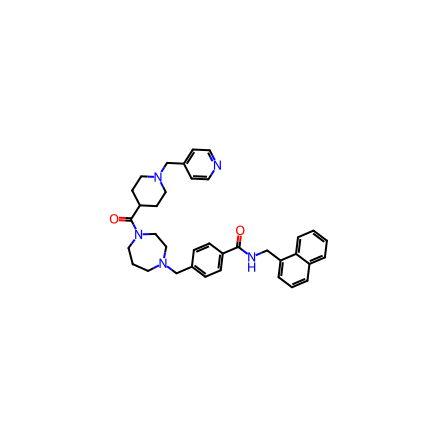 O=C(NCc1cccc2ccccc12)c1ccc(CN2CCCN(C(=O)C3CCN(Cc4ccncc4)CC3)CC2)cc1